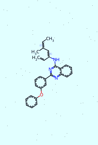 C=C/C(=C\C(C)=C/C)Nc1nc(-c2cccc(Oc3ccccc3)c2)nc2ccccc12